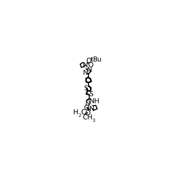 C=C(C)OC(=O)N1CCC[C@H]1c1ncc(-c2cc3sc(-c4ccc(C5=NC([C@@H]6CCCN6C(=O)OC(C)(C)C)=NC5)cc4)cc3s2)[nH]1